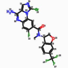 CN(C(=O)c1cc2c(cc1F)nc(N)c1cnc(Br)n12)[C@@H]1COc2cc(C(F)(F)F)ccc21